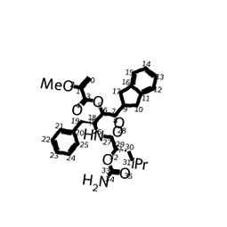 C=C(OC)C(=O)OC(C(=O)C1Cc2ccccc2C1)[C@H](Cc1ccccc1)NC(=O)[C@H](CC(C)C)OC(N)=O